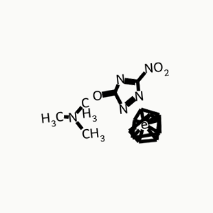 CN(C)C.O=C1N=NC([N+](=O)[O-])=N1.[CH]12[CH]3[CH]4[CH]5[CH]1[Fe]23451678[CH]2[CH]1[CH]6[CH]7[CH]28